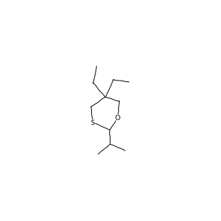 CCC1(CC)COC(C(C)C)SC1